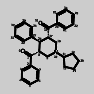 O=C(c1ccccc1)[C@H]1CN(C2CCCC2)C[C@@H](C(=O)c2ccccc2)[C@@H]1c1ccccc1